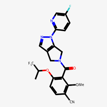 COc1c(C#N)ccc(OC(C)C(F)(F)F)c1C(=O)N1Cc2cnn(-c3ccc(F)cn3)c2C1